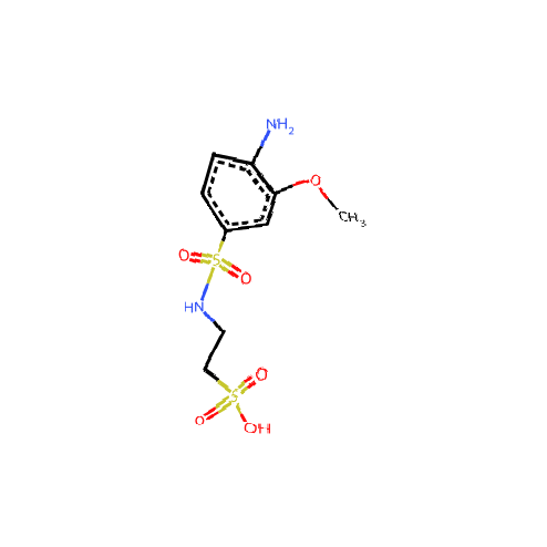 COc1cc(S(=O)(=O)NCCS(=O)(=O)O)ccc1N